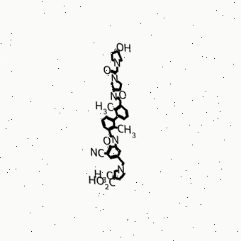 Cc1c(-c2nc3c(o2)CN(C(=O)CN2CC[C@@H](O)C2)C3)cccc1-c1cccc(-c2nc3cc(CN4CC[C@@](C)(C(=O)O)C4)cc(C#N)c3o2)c1C